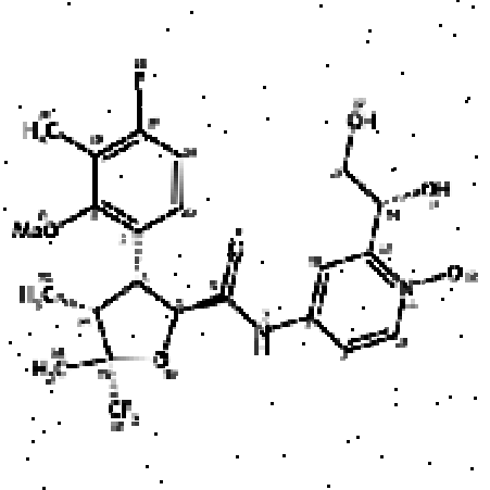 COc1c([C@@H]2[C@@H](C(=O)Nc3cc[n+]([O-])c([C@@H](O)CO)c3)O[C@](C)(C(F)(F)F)[C@@H]2C)ccc(F)c1C